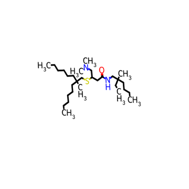 CCCCCCC(C)(CCCCCC)CSC(CC(=O)NCC(C)(CC)CCCC)CN(C)C